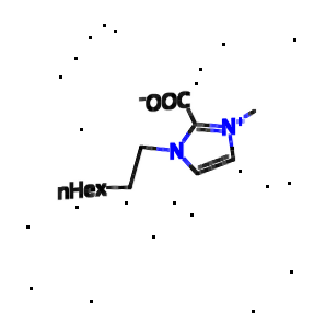 CCCCCCCCn1cc[n+](C)c1C(=O)[O-]